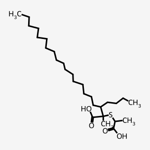 CCCCCCCCCCCCCCCCCC(CCCC)C(C)(SC(C)C(=O)O)C(=O)O